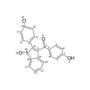 O=C(c1ccc(O)cc1)c1c(-c2ccc(Cl)cc2)[s+]([O-])c2ccccc12